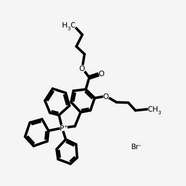 CCCCOC(=O)c1ccc(C[P+](c2ccccc2)(c2ccccc2)c2ccccc2)cc1OCCCC.[Br-]